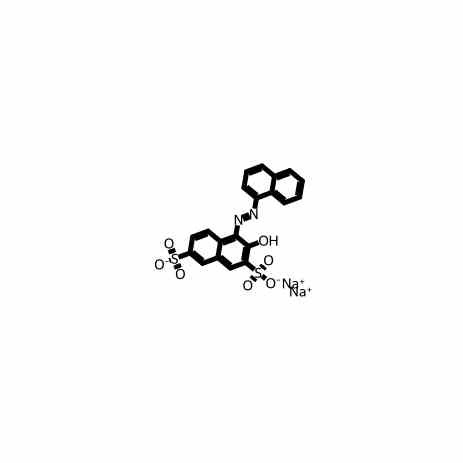 O=S(=O)([O-])c1ccc2c(/N=N/c3cccc4ccccc34)c(O)c(S(=O)(=O)[O-])cc2c1.[Na+].[Na+]